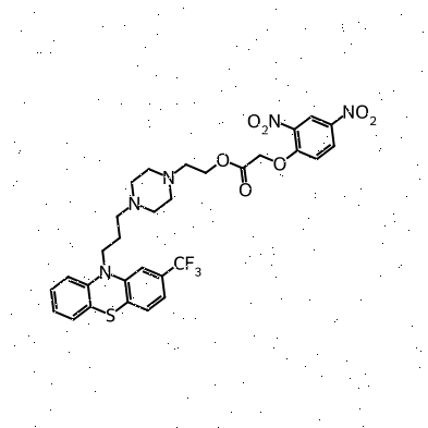 O=C(COc1ccc([N+](=O)[O-])cc1[N+](=O)[O-])OCCN1CCN(CCCN2c3ccccc3Sc3ccc(C(F)(F)F)cc32)CC1